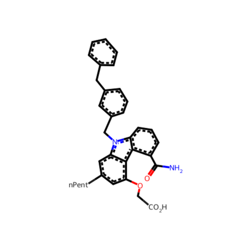 CCCCCc1cc(OCC(=O)O)c2c3c(C(N)=O)cccc3n(Cc3cccc(Cc4ccccc4)c3)c2c1